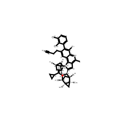 Cc1nc2c(F)c(-c3cccc(Cl)c3Cl)c(CCC#N)cc2c2c1cc([C@H]1[C@H]3C[C@H]([C@@H]4C[C@@H]43)N1C(=O)C1CC1)n2[C@H]1[C@H]2CN[C@@H]1C2